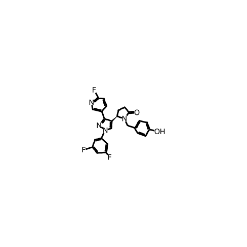 O=C1CC[C@H](c2cn(-c3cc(F)cc(F)c3)nc2-c2ccc(F)nc2)N1Cc1ccc(O)cc1